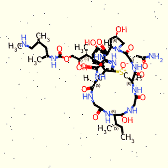 CC[C@H](C)[C@H]1NC(=O)CNC(=O)[C@@H]2Cc3c([nH]c4cc(O)ccc34)[S+]([O-])C[C@H](NC(=O)CNC1O)C(=O)N[C@@H](CC(N)=O)C(=O)N1C[C@H](O)C[C@H]1C(=O)N[C@@H]([C@@H](C)[C@@H](O)COC(=O)NC(C)CC(C)CNC)C(=O)N2